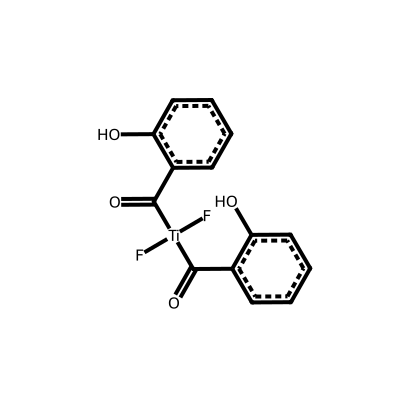 O=[C](c1ccccc1O)[Ti]([F])([F])[C](=O)c1ccccc1O